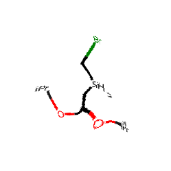 CC(C)OC(OC(C)C)[SiH2]CBr